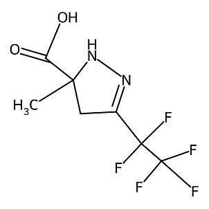 CC1(C(=O)O)CC(C(F)(F)C(F)(F)F)=NN1